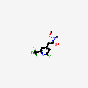 CON(C)C(O)Cc1cc(Br)nc(C(F)(F)F)c1